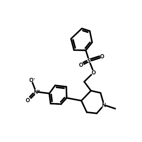 CN1CCC(c2ccc([N+](=O)[O-])cc2)C(COS(=O)(=O)c2ccccc2)C1